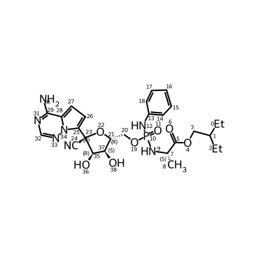 CCC(CC)COC(=O)[C@H](C)NP(=O)(Nc1ccccc1)OC[C@H]1O[C@@](C#N)(c2ccc3c(N)ncnn23)[C@H](O)[C@@H]1O